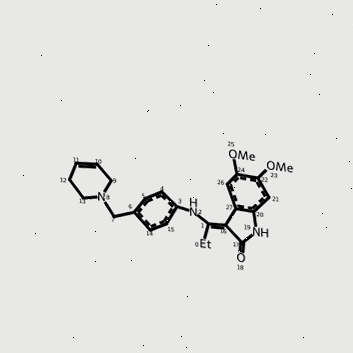 CCC(Nc1ccc(CN2CC=CCC2)cc1)=C1C(=O)Nc2cc(OC)c(OC)cc21